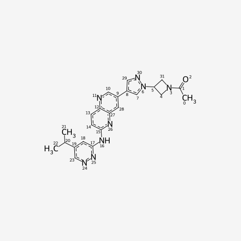 CC(=O)N1CC(n2cc(-c3cnc4ccc(Nc5cc(C(C)C)cnn5)nc4c3)cn2)C1